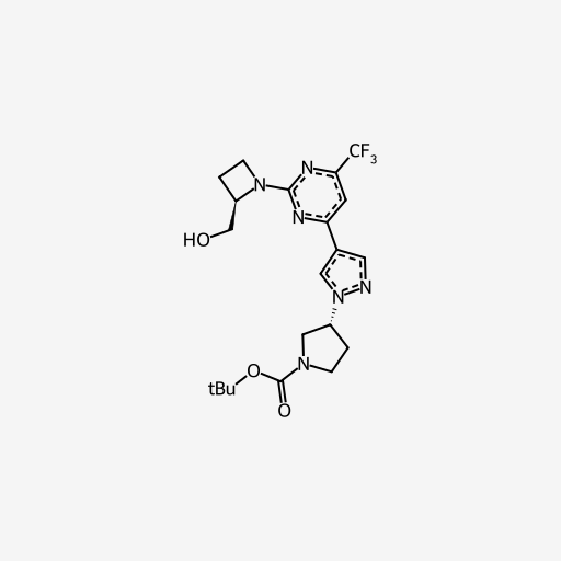 CC(C)(C)OC(=O)N1CC[C@@H](n2cc(-c3cc(C(F)(F)F)nc(N4CC[C@@H]4CO)n3)cn2)C1